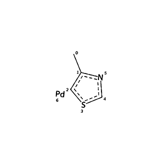 Cc1cscn1.[Pd]